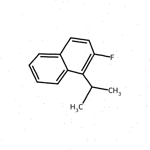 CC(C)c1c(F)ccc2ccccc12